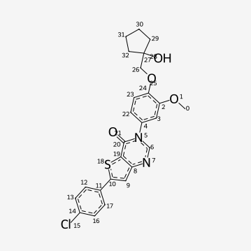 COc1cc(-n2cnc3cc(-c4ccc(Cl)cc4)sc3c2=O)ccc1OCC1(O)CCCC1